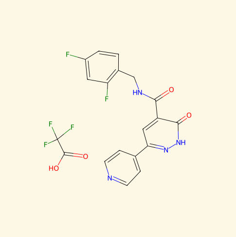 O=C(NCc1ccc(F)cc1F)c1cc(-c2ccncc2)n[nH]c1=O.O=C(O)C(F)(F)F